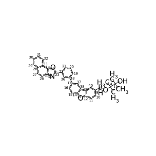 CC(C)(O)C(C)(C)OBc1ccc2oc3ccc(-c4cccc(-c5nc6ccc7ccccc7c6o5)c4)cc3c2c1